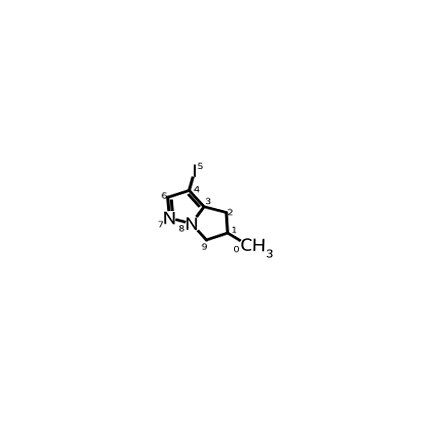 CC1Cc2c(I)cnn2C1